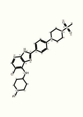 CC(C)N1CCC(Nc2c(Cl)cnc3[nH]c(-c4ccc(N5CCN(S(C)(=O)=O)CC5)cc4)nc23)CC1